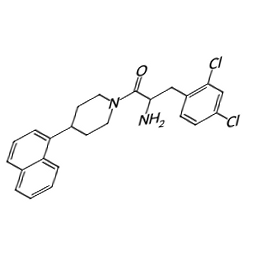 NC(Cc1ccc(Cl)cc1Cl)C(=O)N1CCC(c2cccc3ccccc23)CC1